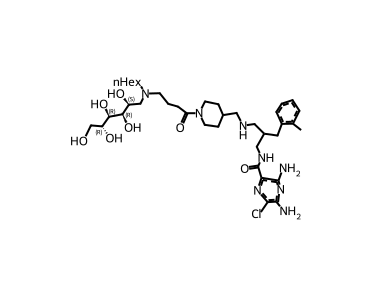 CCCCCCN(CCCC(=O)N1CCC(CNCC(CNC(=O)c2nc(Cl)c(N)nc2N)Cc2ccccc2C)CC1)C[C@H](O)[C@@H](O)[C@H](O)[C@H](O)CO